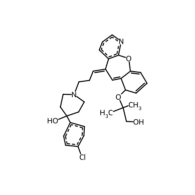 CC(C)(CO)OC1C=CC=C2Oc3ncccc3C(=CCCN3CCC(O)(c4ccc(Cl)cc4)CC3)C=C21